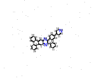 c1ccc(-c2cc3nc(-c4ccccc4)c(-c4ccc(-c5ccncc5)cc4)nc3cc2-c2ccccc2)cc1